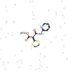 CC(C)OC(=O)C(C(=O)Nc1ccccn1)=C1SCCS1